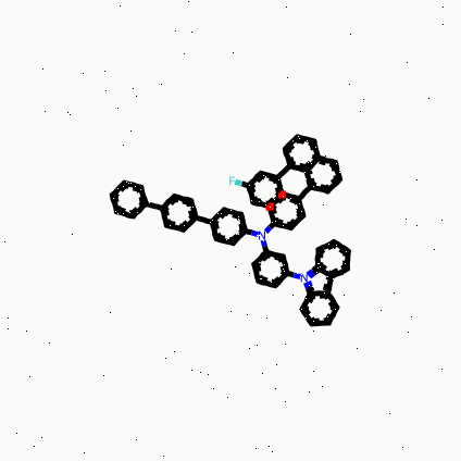 Fc1cccc(-c2cccc3cccc(-c4ccc(N(c5ccc(-c6ccc(-c7ccccc7)cc6)cc5)c5cccc(-n6c7ccccc7c7ccccc76)c5)cc4)c23)c1